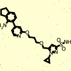 Nc1c(-c2ccnc(OCCCOCc3cc(S(N)(=O)=O)nn3C3CC3)c2)ccc2c1CCC2